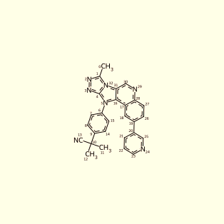 Cc1nnc2n(-c3ccc(C(C)(C)C#N)cc3)c3c4cc(-c5cccnc5)ccc4ncc3n12